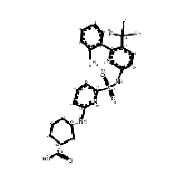 Cc1ccccc1-c1nc(NS(=O)(=O)c2cccc(N[C@H]3CCC[C@@H](C(=O)O)C3)n2)ccc1C(F)(F)F